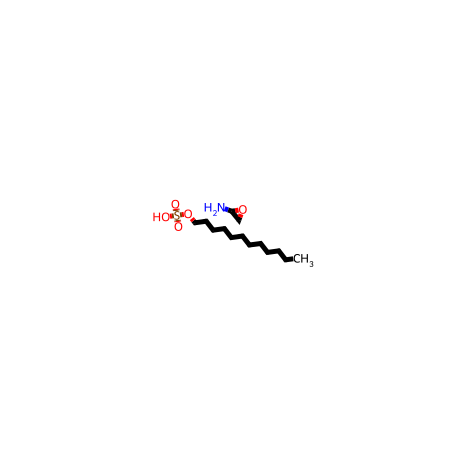 CCCCCCCCCCCCOS(=O)(=O)O.NC1CO1